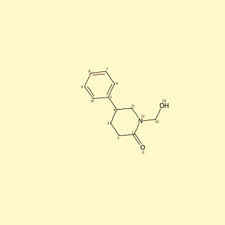 O=C1CCC(c2ccccc2)CN1CO